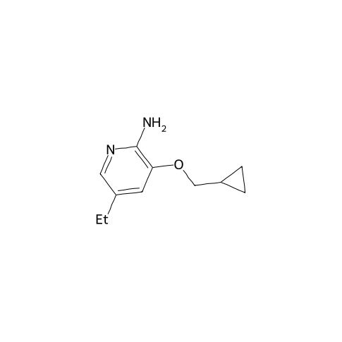 CCc1cnc(N)c(OCC2CC2)c1